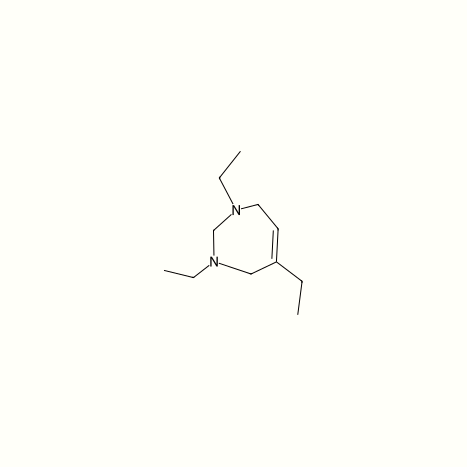 CCC1=CCN(CC)CN(CC)C1